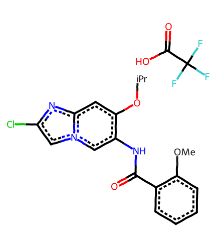 COc1ccccc1C(=O)Nc1cn2cc(Cl)nc2cc1OC(C)C.O=C(O)C(F)(F)F